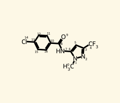 Cn1nc(C(F)(F)F)cc1NC(=O)c1ccc(Cl)cc1